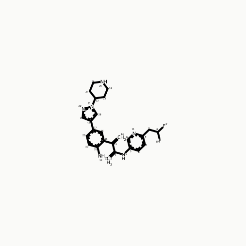 C=C(Nc1ccc(CC(F)F)nc1)C(=C)c1cc(-c2cnn(C3CCNCC3)c2)ccc1N